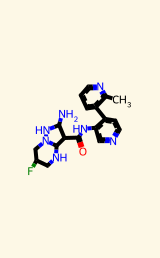 Cc1ncccc1-c1ccncc1NC(=O)C1C(N)NN2CC(F)CNC12